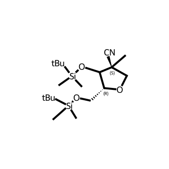 CC(C)(C)[Si](C)(C)OC[C@H]1OC[C@](C)(C#N)C1O[Si](C)(C)C(C)(C)C